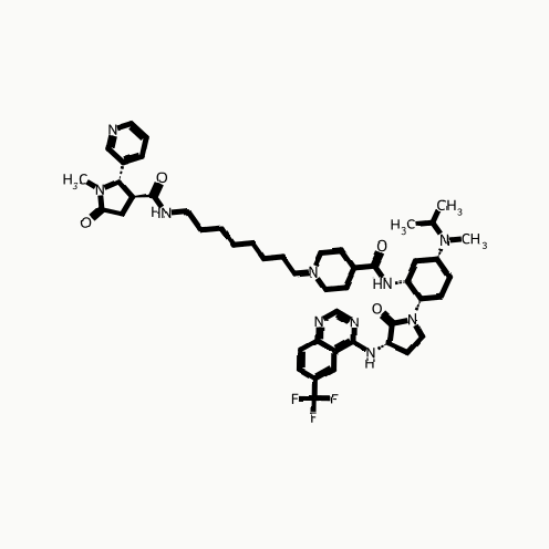 CC(C)N(C)[C@@H]1CC[C@H](N2CC[C@H](Nc3ncnc4ccc(C(F)(F)F)cc34)C2=O)[C@H](NC(=O)C2CCN(CCCCCCCCNC(=O)[C@H]3CC(=O)N(C)[C@@H]3c3cccnc3)CC2)C1